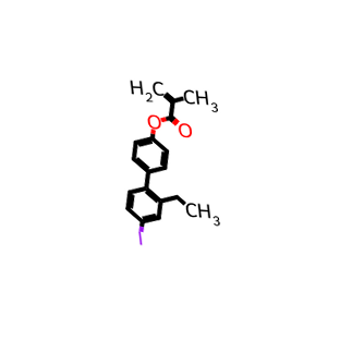 C=C(C)C(=O)Oc1ccc(-c2ccc(I)cc2CC)cc1